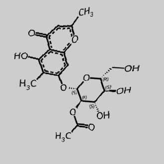 CC(=O)O[C@H]1[C@H](Oc2cc3oc(C)cc(=O)c3c(O)c2C)O[C@H](CO)[C@@H](O)[C@@H]1O